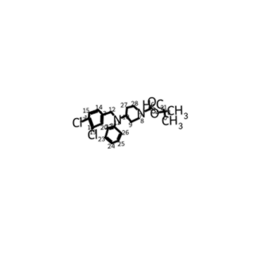 CC(C)(C)OC(=O)N1CCC(N(Cc2ccc(Cl)c(Cl)c2)c2ccccc2)CC1